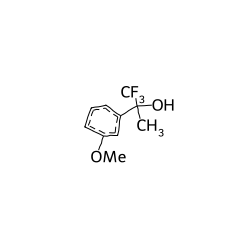 COc1cccc(C(C)(O)C(F)(F)F)c1